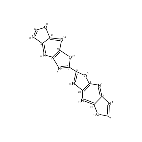 c1nc2nc3oc(-c4nc5nc6ncoc6nc5o4)nc3nc2o1